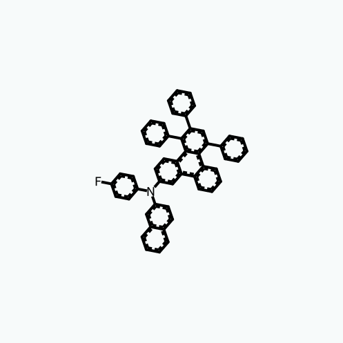 Fc1ccc(N(c2ccc3ccccc3c2)c2ccc3c(c2)c2ccccc2c2c(-c4ccccc4)cc(-c4ccccc4)c(-c4ccccc4)c32)cc1